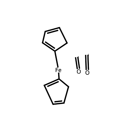 C1=CC[C]([Fe][C]2=CC=CC2)=C1.[C]=O.[C]=O